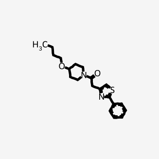 CCCCOC1CCN(C(=O)Cc2csc(-c3ccccc3)n2)CC1